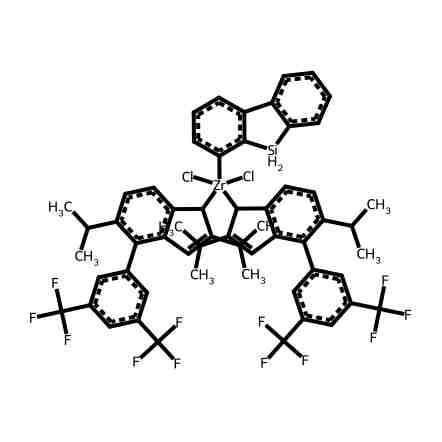 CC(C)C1=Cc2c(ccc(C(C)C)c2-c2cc(C(F)(F)F)cc(C(F)(F)F)c2)[CH]1[Zr]([Cl])([Cl])([c]1cccc2c1[SiH2]c1ccccc1-2)[CH]1C(C(C)C)=Cc2c1ccc(C(C)C)c2-c1cc(C(F)(F)F)cc(C(F)(F)F)c1